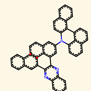 c1ccc2cc(-c3nc4ccccc4nc3-c3cc(N4c5ccc6ccccc6c5-c5cccc6cccc4c56)cc4ccccc34)ccc2c1